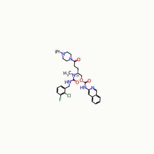 CC(C)N1CCN(C(=O)CC[C@@H](COC(=O)Nc2cc3ccccc3cn2)N(C)C(=O)NCc2cccc(F)c2Cl)CC1